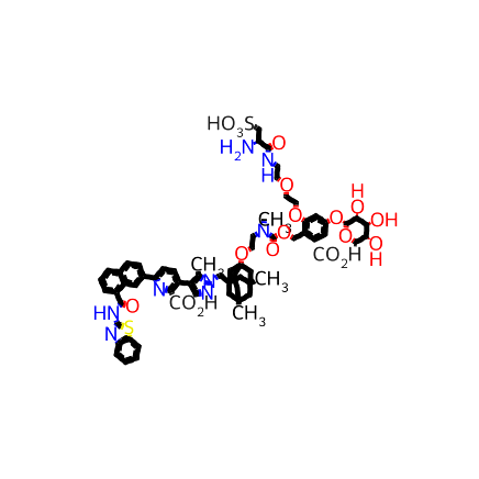 Cc1c(-c2ccc(-c3ccc4cccc(C(=O)Nc5nc6ccccc6s5)c4c3)nc2C(=O)O)cnn1CC12CC3(C)CC(C)(C1)CC(OCCN(C)C(=O)OCc1ccc(O[C@@H]4O[C@H](C(=O)O)[C@@H](O)[C@H](O)[C@H]4O)cc1OCCOCCNC(=O)[C@@H](N)CS(=O)(=O)O)(C3)C2